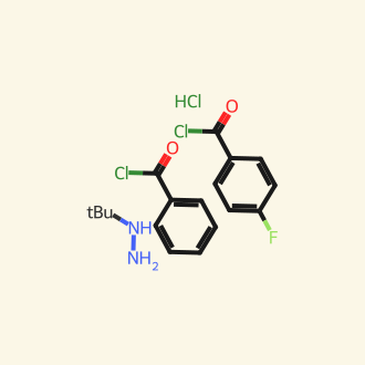 CC(C)(C)NN.Cl.O=C(Cl)c1ccc(F)cc1.O=C(Cl)c1ccccc1